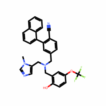 Cn1cncc1CN(Cc1ccc(C#N)c(-c2cccc3ccccc23)c1)Cc1cc(OC(F)(F)F)ccc1O